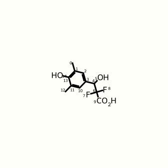 Cc1cc(C(O)C(F)(F)C(=O)O)cc(C)c1O